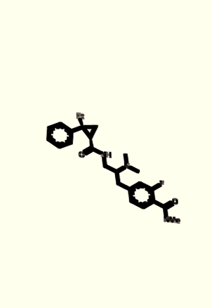 CC[C@@]1(c2ccccc2)C[C@H]1C(=O)NCC(Cc1ccc(C(=O)NC)c(F)c1)N(C)C